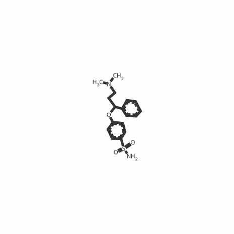 CN(C)CCC(Oc1ccc(S(N)(=O)=O)cc1)c1ccccc1